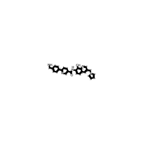 Cc1c(NC(=O)c2ccc(-c3ccc(CN)cc3)nc2)ccc2cc(Cn3cccc3)cnc12